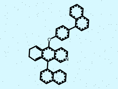 C1=c2c(Oc3ccc(-c4cccc5ccccc45)cc3)c3ccncc3c(-c3cccc4ccccc34)c2=CCC1